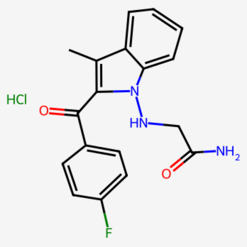 Cc1c(C(=O)c2ccc(F)cc2)n(NCC(N)=O)c2ccccc12.Cl